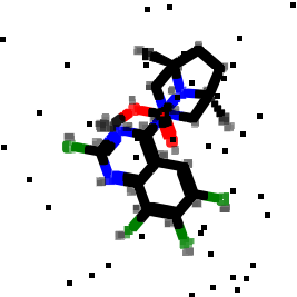 CC(C)(C)OC(=O)N1[C@H]2CC[C@H]1CN(c1nc(Cl)nc3c(F)c(Br)c(Cl)cc13)C2